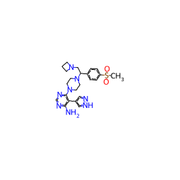 CS(=O)(=O)c1ccc(C(CN2CCC2)N2CCN(c3ncnc(N)c3-c3cn[nH]c3)CC2)cc1